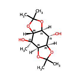 CC1(C)O[C@@H]2[C@@H](O)[C@@H]3OC(C)(C)O[C@H]3[C@](C)(O)[C@@H]2O1